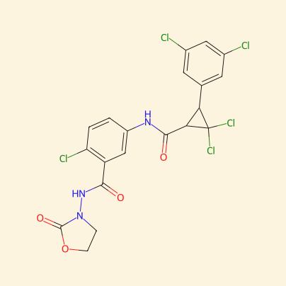 O=C(NN1CCOC1=O)c1cc(NC(=O)C2C(c3cc(Cl)cc(Cl)c3)C2(Cl)Cl)ccc1Cl